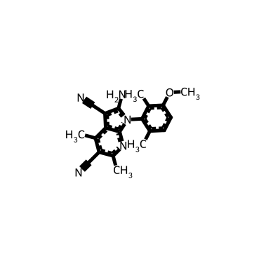 COc1ccc(C)c(-n2c(N)c(C#N)c3c(C)c(C#N)c(C)nc32)c1C